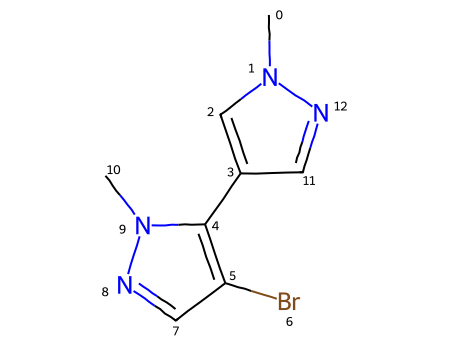 Cn1cc(-c2c(Br)cnn2C)cn1